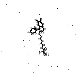 Cc1cc2c(cc1C)C(c1ccccc1)N(CCCCCCCC(=O)NO)CC2